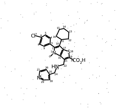 Cn1c(-c2ccc(Cl)cc2)c(C2CCCCC2)c2sc(C(=O)O)c(CNCc3ccncc3)c21